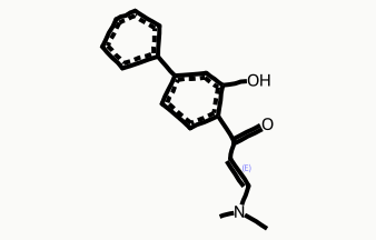 CN(C)/C=C/C(=O)c1ccc(-c2ccccc2)cc1O